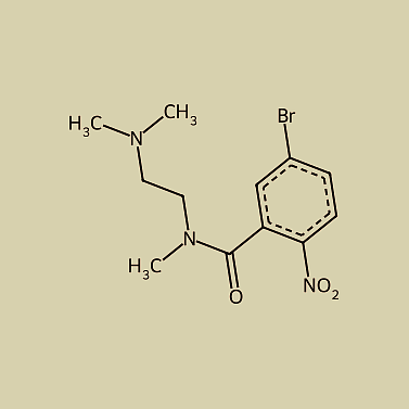 CN(C)CCN(C)C(=O)c1cc(Br)ccc1[N+](=O)[O-]